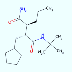 CCC[C@H](C(N)=O)[C@@H](CC1CCCC1)C(=O)NC(C)(C)C